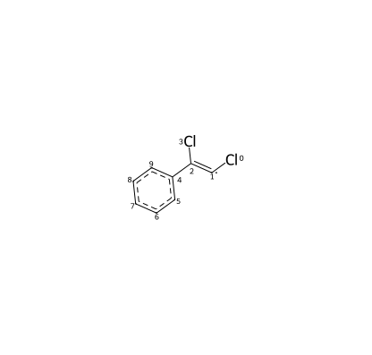 Cl[C]=C(Cl)c1ccccc1